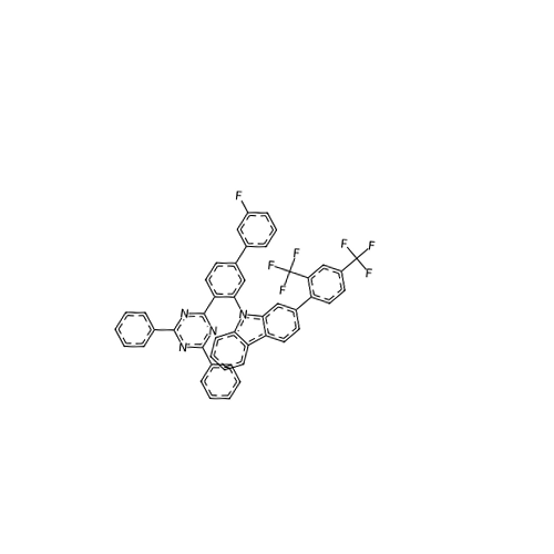 Fc1cccc(-c2ccc(-c3nc(-c4ccccc4)nc(-c4ccccc4)n3)c(-n3c4ccccc4c4ccc(-c5ccc(C(F)(F)F)cc5C(F)(F)F)cc43)c2)c1